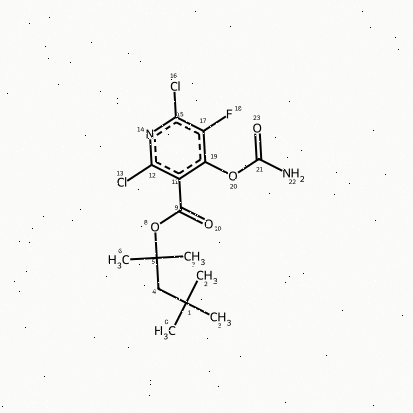 CC(C)(C)CC(C)(C)OC(=O)c1c(Cl)nc(Cl)c(F)c1OC(N)=O